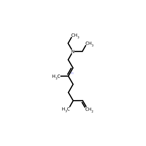 C=CC(C)CC/C(C)=C/CN(CC)CC